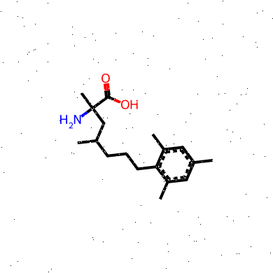 Cc1cc(C)c(CCCC(C)CC(C)(N)C(=O)O)c(C)c1